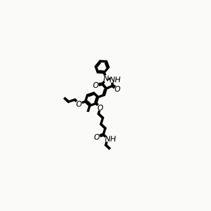 CCCOc1ccc(C=C2C(=O)NN(c3ccccc3)C2=O)c(OCCCCC(=O)NCC)c1C